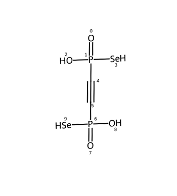 O=P(O)([SeH])C#CP(=O)(O)[SeH]